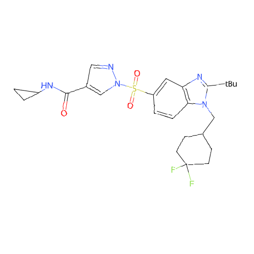 CC(C)(C)c1nc2cc(S(=O)(=O)n3cc(C(=O)NC4CC4)cn3)ccc2n1CC1CCC(F)(F)CC1